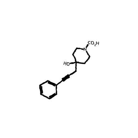 O=C(O)N1CCC(O)(CC#Cc2ccccc2)CC1